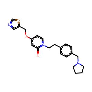 O=c1cc(OCc2cncs2)ccn1CCc1ccc(CN2CCCC2)cc1